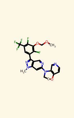 COCOc1c(F)c(-c2nn(C)c3cc(N4CCOc5ccncc54)ncc23)cc(C(F)(F)F)c1F